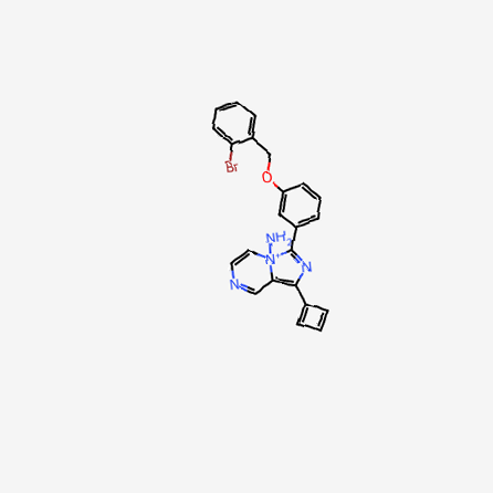 N[N+]12C=CN=CC1=C(C1=CC=C1)N=C2c1cccc(OCc2ccccc2Br)c1